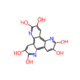 Oc1cc2c(nc1O)c1cc(O)c(O)nc1c1cc(O)c(O)nc21